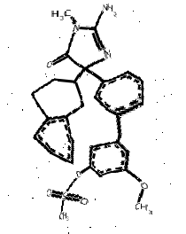 COc1cc(OS(C)(=O)=O)cc(-c2cccc(C3(C4CCc5ccccc5C4)N=C(N)N(C)C3=O)c2)c1